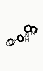 c1cnc2c(c1)CCCC2N[C@H]1CC[C@H](N2CCOCC2)CC1